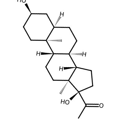 CC(=O)[C@@]1(O)CC[C@H]2[C@@H]3CC[C@@H]4C[C@H](O)CC[C@]4(C)[C@H]3CC[C@@]21C